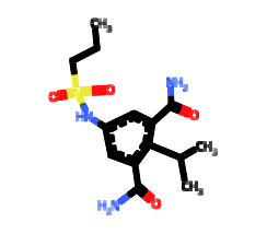 CCCS(=O)(=O)Nc1cc(C(N)=O)c(C(C)C)c(C(N)=O)c1